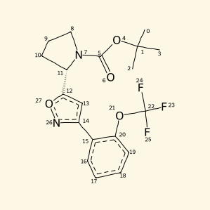 CC(C)(C)OC(=O)N1CCC[C@H]1c1cc(-c2ccccc2OC(F)(F)F)no1